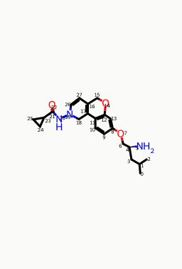 CC(C)C[C@H](N)COc1ccc2c(c1)OCC1=C2CN(NC(=O)C2CC2)C=C1